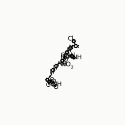 CC1(C)CCC(CN2CCN(c3ccc(C(=O)NS(=O)(=O)c4ccc(NCC5CCN(C6CCN(CCC#Cc7cccc8c7C(=O)N(C7CCC(=O)NC7=O)C8=O)CC6)CC5)c([N+](=O)[O-])c4)c(Oc4cnc5[nH]ccc5c4)c3)CC2)=C(c2ccc(Cl)cc2)C1